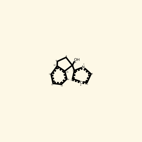 OC1(c2ccccn2)CCc2ccccc21